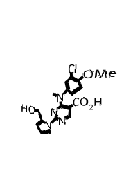 COc1ccc(N(C)c2nc(-n3cccc3CO)ncc2C(=O)O)cc1Cl